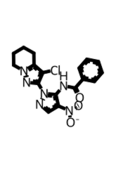 O=C(Nc1c([N+](=O)[O-])cnn1-c1nn2c(c1Cl)CCCC2)c1ccccc1